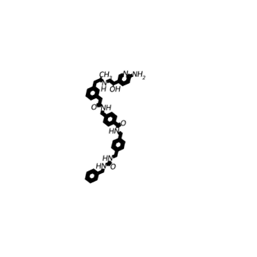 C[C@H](Cc1cccc(CC(=O)NCc2ccc(C(=O)NCc3ccc(CNC(=O)NCc4ccccc4)cc3)cc2)c1)NC[C@@H](O)c1ccc(N)nc1